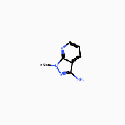 CCCCn1nc(N)c2cccnc21